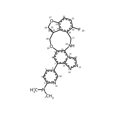 CN(C)c1ccc(-c2cc3c(n4cnnc24)NCc2c(F)ccc4c2[C@H](CO4)CO3)cn1